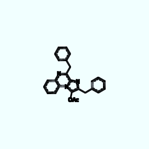 CC(=O)Oc1c(Cc2ccccc2)nc2c(Cc3ccccc3)nc3ccccc3n12